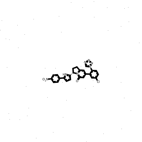 O=c1cc(-c2cc(Cl)ccc2-n2cnnn2)cc2n1[C@H](c1ccc(-c3ccc([N+](=O)[O-])cc3)[nH]1)CC2